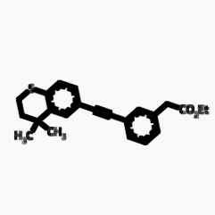 CCOC(=O)Cc1cccc(C#Cc2ccc3c(c2)C(C)(C)CCS3)c1